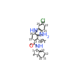 CC(C)c1c(C(=O)N[C@H]2CCc3ccccc32)ccc(Nc2cccc(Cl)c2)c1N